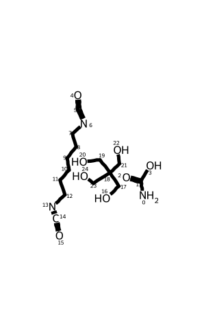 NC(=O)O.O=C=NCCCCCCN=C=O.OCC(CO)(CO)CO